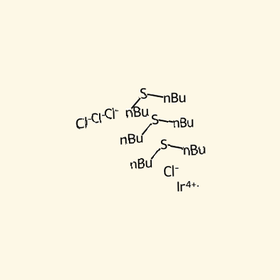 CCCCSCCCC.CCCCSCCCC.CCCCSCCCC.[Cl-].[Cl-].[Cl-].[Cl-].[Ir+4]